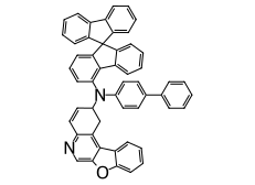 C1=CC(N(c2ccc(-c3ccccc3)cc2)c2cccc3c2-c2ccccc2C32c3ccccc3-c3ccccc32)Cc2c1ncc1oc3ccccc3c21